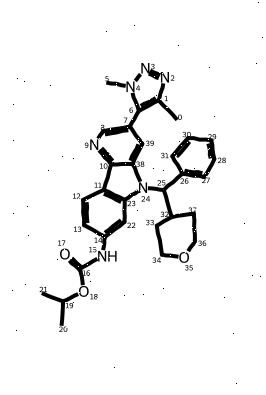 Cc1nnn(C)c1-c1cnc2c3ccc(NC(=O)OC(C)C)cc3n(C(c3ccccc3)C3CCOCC3)c2c1